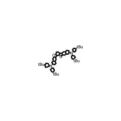 CC(C)(C)c1ccc(N(c2ccc(C(C)(C)C)cc2)c2ccc3cc4c(cc3c2)oc2c4ccc3oc4cc5cc(N(c6ccc(C(C)(C)C)cc6)c6ccc(C(C)(C)C)cc6)ccc5cc4c32)cc1